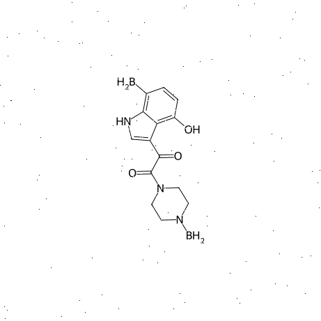 Bc1ccc(O)c2c(C(=O)C(=O)N3CCN(B)CC3)c[nH]c12